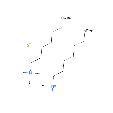 CCCCCCCCCCCCCCCC[N+](C)(C)C.CCCCCCCCCCCCCCCC[N+](C)(C)C.[S-2]